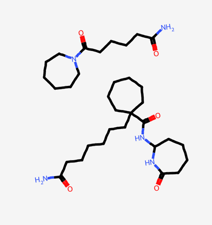 NC(=O)CCCCC(=O)N1CCCCCC1.NC(=O)CCCCCCC1(C(=O)NC2CCCCC(=O)N2)CCCCCC1